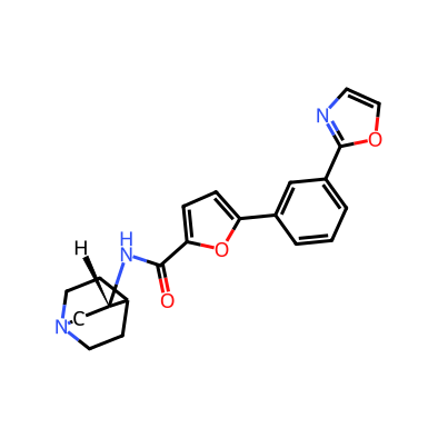 O=C(N[C@H]1CN2CCC1CC2)c1ccc(-c2cccc(-c3ncco3)c2)o1